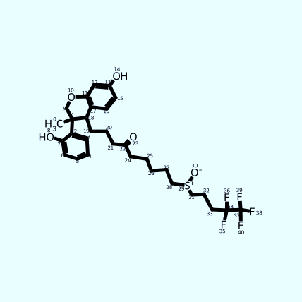 CC1(c2ccccc2O)COc2cc(O)ccc2C1CCCC(=O)CCCCC[S+]([O-])CCCC(F)(F)C(F)(F)F